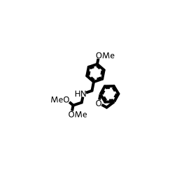 COc1ccc(CNCC(OC)OC)cc1.c1cc2cc(c1)OC2